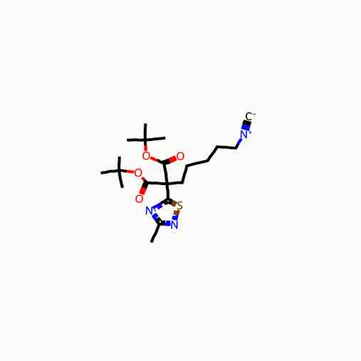 [C-]#[N+]CCCCCC(C(=O)OC(C)(C)C)(C(=O)OC(C)(C)C)c1nc(C)ns1